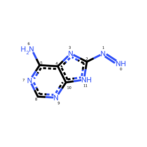 N=Nc1nc2c(N)ncnc2[nH]1